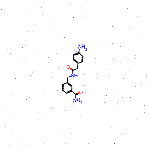 NC(=O)c1cccc(CNC(=O)Cc2ccc(N)cc2)c1